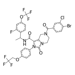 CC(NC(=O)c1c2n(c(=O)n1-c1ccc(OCC(F)(F)F)cc1)CCN(C(=O)c1ccc(Br)c(Cl)c1)C2)c1ccc(OC(F)(F)F)cc1F